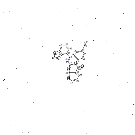 C#Cc1ccc(-n2c(/C=C/c3cccc4c3OCO4)nc3ncccc3c2=O)cc1